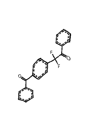 O=C(c1ccccc1)c1ccc(C(F)(F)C(=O)c2ccccc2)cc1